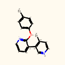 CCc1ccc(Oc2ncccc2-c2cnccc2CC)cc1